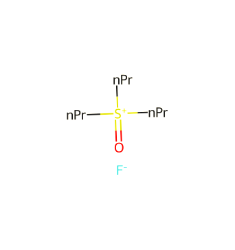 CCC[S+](=O)(CCC)CCC.[F-]